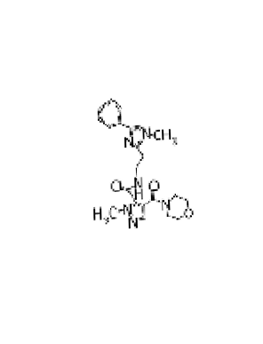 Cn1cc(-c2ccccc2)nc1CCNC(=O)c1c(C(=O)N2CCOCC2)cnn1C